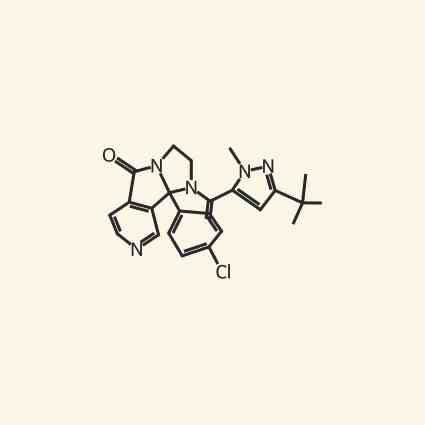 C=C(c1cc(C(C)(C)C)nn1C)N1CCN2C(=O)c3ccncc3C12c1ccc(Cl)cc1